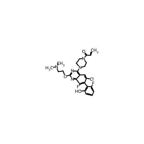 C=CC(=O)N1CCN(c2nc(OCCN(C)C)nc3c(F)c(-c4c(O)cccc4F)c(Cl)cc23)CC1